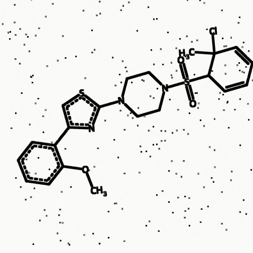 COc1ccccc1-c1csc(N2CCN(S(=O)(=O)C3C=CC=CC3(C)Cl)CC2)n1